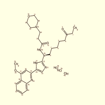 CCC(=O)CCCCC[C@H](NC(=O)CCN1CCOCC1)c1ncc(-c2cc(OC)c3ccccc3n2)[nH]1.Cl.Cl.Cl